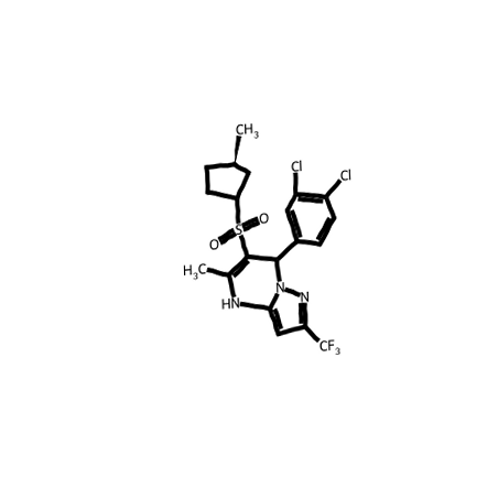 CC1=C(S(=O)(=O)C2CC[C@@H](C)C2)C(c2ccc(Cl)c(Cl)c2)n2nc(C(F)(F)F)cc2N1